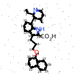 C=Cc1nccc(C)c1-c1cccc2c(CCCOc3cccc4ccccc34)c(C(=O)O)[nH]c12